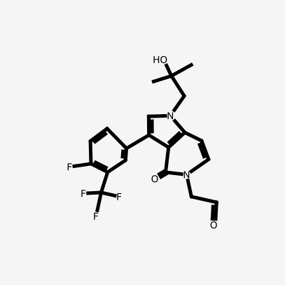 CC(C)(O)Cn1cc(-c2ccc(F)c(C(F)(F)F)c2)c2c(=O)n(CC=O)ccc21